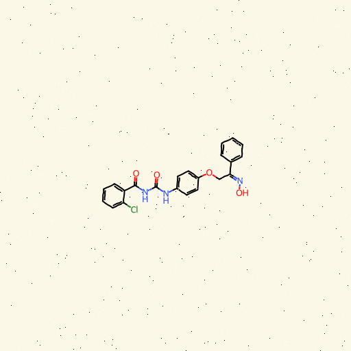 O=C(NC(=O)c1ccccc1Cl)Nc1ccc(OC/C(=N\O)c2ccccc2)cc1